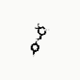 FC1(F)CNCC(COc2ccc(Cl)cc2)C1